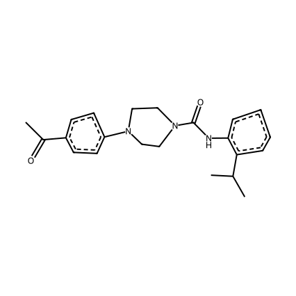 CC(=O)c1ccc(N2CCN(C(=O)Nc3ccccc3C(C)C)CC2)cc1